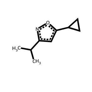 CC(C)c1cc(C2CC2)on1